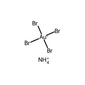 [Br][Au-]([Br])([Br])[Br].[NH4+]